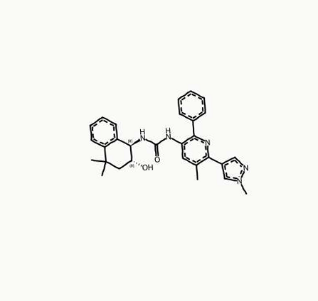 Cc1cc(NC(=O)N[C@@H]2c3ccccc3C(C)(C)C[C@H]2O)c(-c2ccccc2)nc1-c1cnn(C)c1